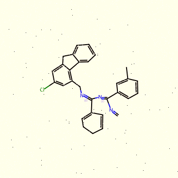 C=N/C(=N\C(=N/Cc1cc(Cl)cc2c1-c1ccccc1C2)C1=CCCC=C1)c1cccc(C)c1